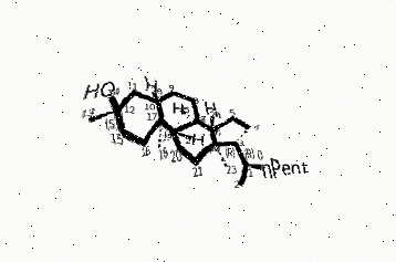 CCCCC[C@@H](C)[C@H]1CC[C@H]2[C@@H]3CC[C@H]4C[C@@](C)(O)CC[C@]4(C)[C@H]3CC[C@]12C